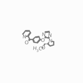 COC[C@@H]1CCCN1c1nccnc1Oc1ccc(C(=O)c2ccccn2)cc1